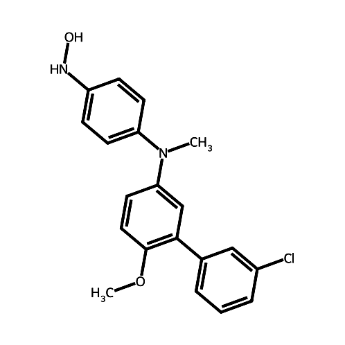 COc1ccc(N(C)c2ccc(NO)cc2)cc1-c1cccc(Cl)c1